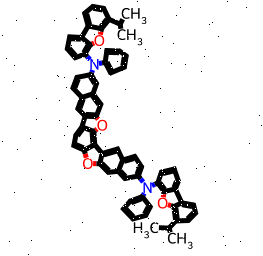 CC(C)c1cccc2c1oc1c(N(c3ccccc3)c3ccc4cc5c(cc4c3)oc3c5ccc4oc5cc6cc(N(c7ccccc7)c7cccc8c7oc7c(C(C)C)cccc78)ccc6cc5c43)cccc12